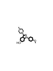 COc1ccc(-n2nc(N3CCN(C)CC3)c3ccccc32)cc1.Cl